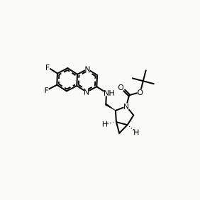 CC(C)(C)OC(=O)N1C[C@H]2C[C@H]2[C@H]1CNc1cnc2cc(F)c(F)cc2n1